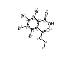 CCOC(=O)c1c(Br)c(Br)c(Br)c(Br)c1C(=O)O